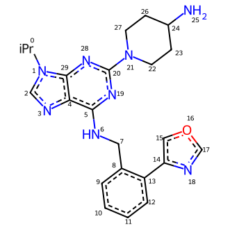 CC(C)n1cnc2c(NCc3ccccc3-c3cocn3)nc(N3CCC(N)CC3)nc21